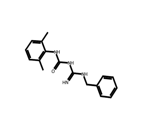 Cc1cccc(C)c1NC(=O)NC(=N)NCc1ccccc1